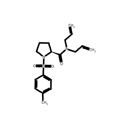 C=CCN(CC=C)C(=O)[C@@H]1CCCN1S(=O)(=O)c1ccc(C)cc1